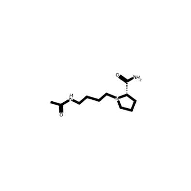 CC(=O)NCCCCN1CCC[C@H]1C(N)=O